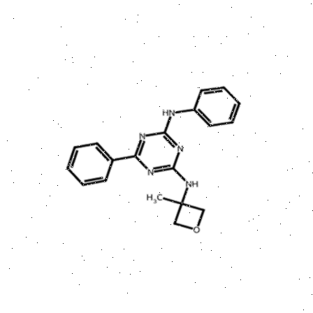 CC1(Nc2nc(Nc3ccccc3)nc(-c3ccccc3)n2)COC1